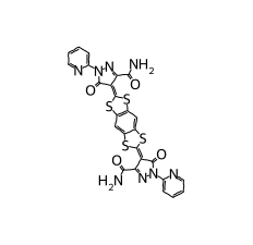 NC(=O)C1=NN(c2ccccn2)C(=O)C1=C1Sc2cc3c(cc2S1)SC(=C1C(=O)N(c2ccccn2)N=C1C(N)=O)S3